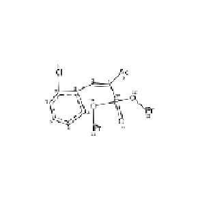 CC(=O)C(=Cc1ccccc1Cl)P(=O)(OC(C)C)OC(C)C